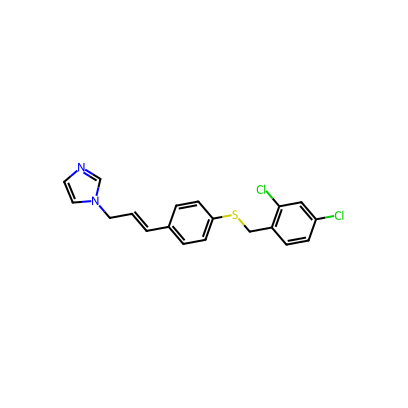 Clc1ccc(CSc2ccc(C=CCn3ccnc3)cc2)c(Cl)c1